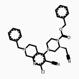 N#CC[C@H]1CN(c2c(C#N)c(Cl)nc3c2CCN(Cc2ccccc2)C3)CCN1C(=O)OCc1ccccc1